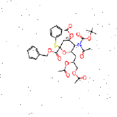 CC(=O)OCC(CC1OC(Sc2ccccc2)(C(=O)OCc2ccccc2)C[C@@H](OC(C)=O)C1N(C(C)=O)C(=O)OC(C)(C)C)OC(C)=O